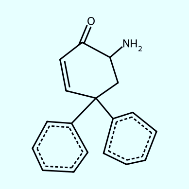 NC1CC(c2ccccc2)(c2ccccc2)C=CC1=O